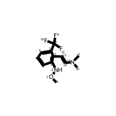 CONc1cccc(C(F)(F)F)c1/C=C/N(C)C